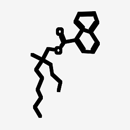 CCCCCCC(C)(CCCC)COC(=O)c1cccc2ccccc12